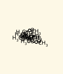 COc1ccc(COCC(C)C(O[Si](C)(C)C(C)(C)C)C(C)/C=C\CC(C)C(O[Si](C)(C)C(C)(C)C)C(C)C(C)OCc2ccc(OC)cc2)cc1